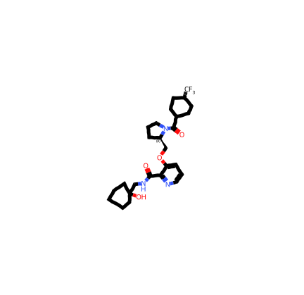 O=C(NCC1(O)CCCCC1)c1ncccc1OC[C@H]1CCCN1C(=O)C1CCC(C(F)(F)F)CC1